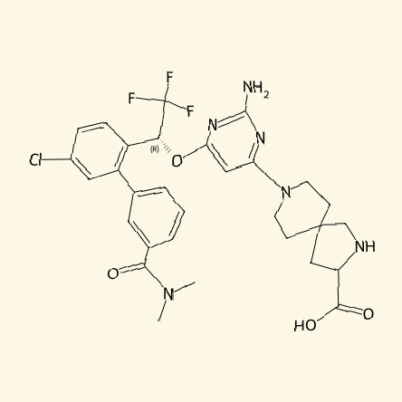 CN(C)C(=O)c1cccc(-c2cc(Cl)ccc2[C@@H](Oc2cc(N3CCC4(CC3)CNC(C(=O)O)C4)nc(N)n2)C(F)(F)F)c1